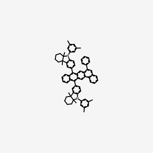 Cc1cc(C)cc(N2c3ccc(-c4c5ccccc5c(-c5ccc6c(c5)C5(C)CCCCC5(C)N6c5cc(C)cc(C)c5)c5cc6c(cc45)c(-c4ccccc4)cc4ccccc46)cc3C3(C)CCCCC23C)c1